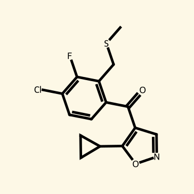 CSCc1c(C(=O)c2cnoc2C2CC2)ccc(Cl)c1F